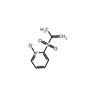 C=C(C)S(=O)(=O)c1cccc[n+]1[O-]